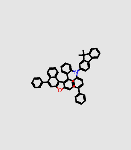 CC1(C)c2ccccc2-c2ccc(N(c3ccc(-c4ccccc4)cc3)c3ccccc3-c3cccc4oc5cc(-c6ccccc6)c6ccccc6c5c34)cc21